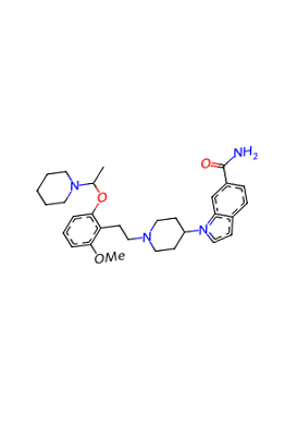 COc1cccc(OC(C)N2CCCCC2)c1CCN1CCC(n2ccc3ccc(C(N)=O)cc32)CC1